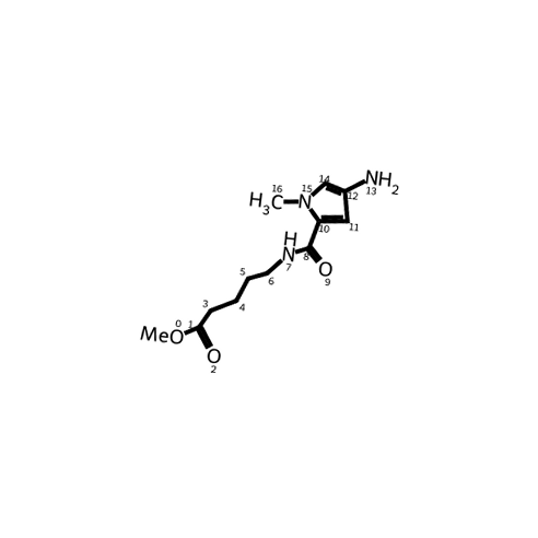 COC(=O)CCCCNC(=O)c1cc(N)cn1C